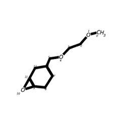 COCCOCC1CCC2OC2C1